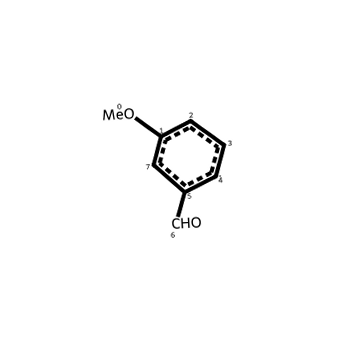 COc1cc[c]c(C=O)c1